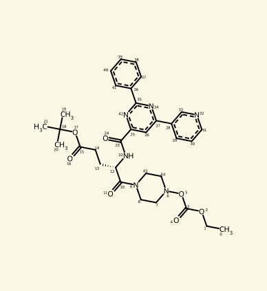 CCOC(=O)ON1CCN(C(=O)[C@H](CCC(=O)OC(C)(C)C)NC(=O)c2cc(-c3cccnc3)nc(-c3ccccc3)n2)CC1